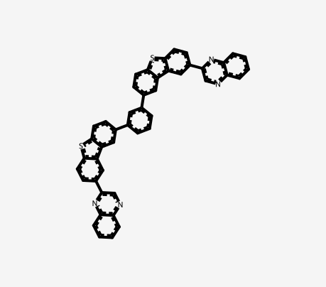 c1cc(-c2ccc3sc4ccc(-c5cnc6ccccc6n5)cc4c3c2)cc(-c2ccc3sc4ccc(-c5cnc6ccccc6n5)cc4c3c2)c1